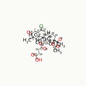 C=C1C(=C)[C@@]2(C)C(=CC1=O)C(Cl)=C[C@@H]1[C@@H]2C(OC(=O)CCC(=O)O)C[C@@]2(C)[C@H]1CC[C@]2(OC(C)=O)C(C)=O